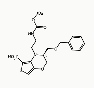 CC(C)(C)OC(=O)NCCN1c2c(csc2C(=O)O)OC[C@@H]1COCc1ccccc1